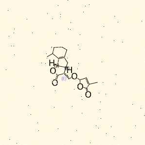 CC1=CC(O/C=C2/C(=O)O[C@@H]3C4=C(CCCC4C)C[C@H]23)OC1=O